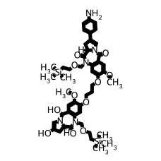 COc1cc2c(cc1OCCCOc1cc3c(cc1OC)C(O)N1C=C(O)C[C@H]1C(=O)N3COCC[Si](C)(C)C)N(COCC[Si](C)(C)C)C(=O)[C@@H]1CC(c3ccc(N)cc3)=CN1C2=O